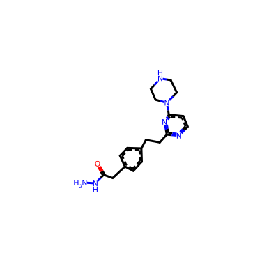 NNC(=O)Cc1ccc(CCc2nccc(N3CCNCC3)n2)cc1